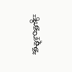 CN(C)c1ncc(-c2cc(F)cc(CNCC3CCN(c4nccc(/C=C5\SC(=O)NC5=O)n4)CC3)n2)cn1